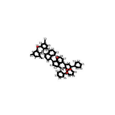 Cc1cc(C)c(B(c2c(C)cc(C)cc2C)c2ccc3c4c(cccc24)Oc2cc(N(c4ccccc4-c4ccccc4)c4c(F)cc(-c5ccccc5)cc4-c4ccccc4)ccc2-3)c(C)c1